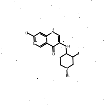 CCN1CCC(Nc2c[nH]c3cc(Cl)ncc3c2=O)C(F)C1